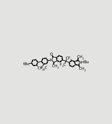 C=C1c2cc(C(c3ccc4c(=C)n(C(C)(C)C)c(=C)c4c3)(C(F)(F)F)C(F)(F)F)ccc2C(=O)N1c1ccc(-c2ccc(C(C)(C)C)cc2C(F)(F)F)c(C(F)(F)F)c1